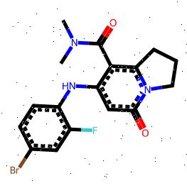 CN(C)C(=O)c1c(Nc2ccc(Br)cc2F)cc(=O)n2c1CCC2